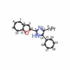 CCCc1nc(-c2cc3ccccc3o2)[nH]c1-c1ccccc1